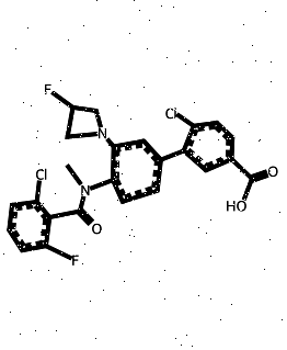 CN(C(=O)c1c(F)cccc1Cl)c1ccc(-c2cc(C(=O)O)ccc2Cl)cc1N1CC(F)C1